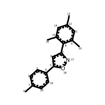 Cc1ccc(-c2cc(-c3c(C)cc(C)cc3C)no2)cc1